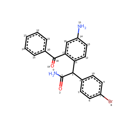 NC(=O)C(c1ccc(Br)cc1)c1ccc(N)cc1C(=O)c1ccccc1